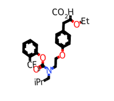 CCOC(Cc1ccc(OCCN(CC(C)C)C(=O)Oc2ccccc2C(F)(F)F)cc1)C(=O)O